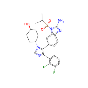 CC(C)S(=O)(=O)n1c(N)nc2ccc(-c3c(-c4cccc(F)c4F)ncn3[C@H]3CC[C@H](O)CC3)cc21